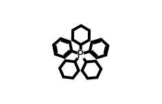 c1ccc(P(c2ccccc2)(C2CCCCC2)(C2CCCCC2)C2CCCCC2)cc1